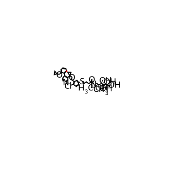 CC(C)N(C[C@H](O)[C@@H](O)[C@H](O)[C@H](O)CO)C(=O)CCCSc1ccc(Cl)c(COC2(c3cnccc3-c3ccccc3OC3CC3)CC2)c1